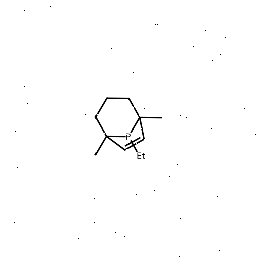 CCP1C2(C)C=CC1(C)CCC2